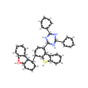 c1ccc(-c2nc(-c3ccccc3)nc(-c3ccc(-c4cccc5oc6ccccc6c45)c4sc5ccccc5c34)n2)cc1